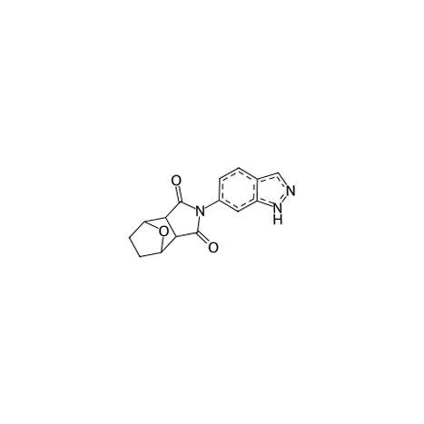 O=C1C2C3CCC(O3)C2C(=O)N1c1ccc2cn[nH]c2c1